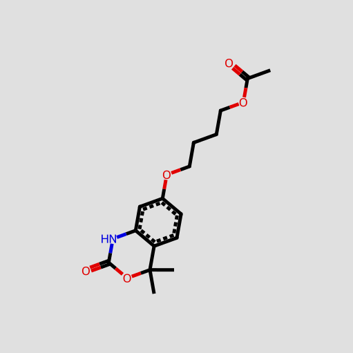 CC(=O)OCCCCOc1ccc2c(c1)NC(=O)OC2(C)C